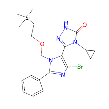 C[Si](C)(C)CCOCn1c(-c2ccccc2)nc(Br)c1-c1n[nH]c(=O)n1C1CC1